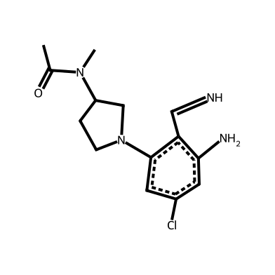 CC(=O)N(C)C1CCN(c2cc(Cl)cc(N)c2C=N)C1